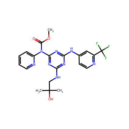 COC(=O)N(c1ccccn1)c1nc(NCC(C)(C)O)nc(Nc2ccnc(C(F)(F)F)c2)n1